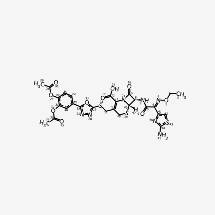 CCON=C(C(=O)N[C@@H]1C(=O)N2C(C(=O)O)=C(CSc3nnc(-c4ccc(OC(C)=O)c(OC(C)=O)c4)o3)CS[C@@H]12)c1csc(N)n1